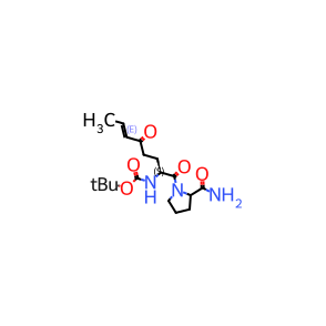 C/C=C/C(=O)CC[C@H](NC(=O)OC(C)(C)C)C(=O)N1CCCC1C(N)=O